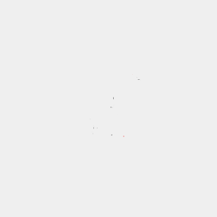 CC(C)[C@H](O)CCC1CCC2C3C(CC[C@]12C)[C@@]1(C)CCC2(C[C@@H]1C[C@H]3O)OCCO2